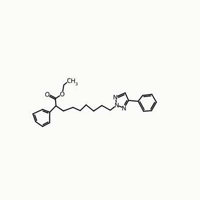 CCOC(=O)C(CCCCCCCn1ncc(-c2ccccc2)n1)c1ccccc1